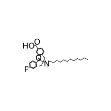 CCCCCCCCCCCCN(C)C(CC)(Cc1ccc(C(=O)O)cc1)C(=O)c1ccc(F)cc1